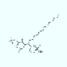 CCCCCCCCCCCCCC(C(CSC)NC(=O)OC(C)(C)C)C(CC)OS(=O)(=O)O